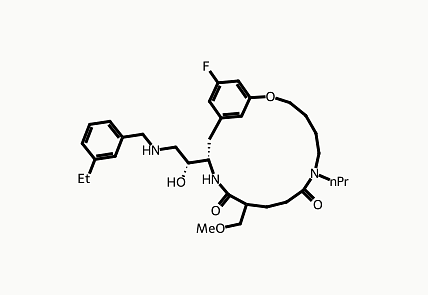 CCCN1CCCCOc2cc(F)cc(c2)C[C@@H]([C@H](O)CNCc2cccc(CC)c2)NC(=O)C(COC)CCC1=O